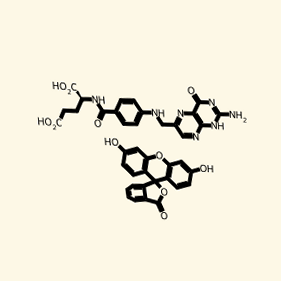 Nc1nc(=O)c2nc(CNc3ccc(C(=O)N[C@@H](CCC(=O)O)C(=O)O)cc3)cnc2[nH]1.O=C1OC2(c3ccc(O)cc3Oc3cc(O)ccc32)c2ccccc21